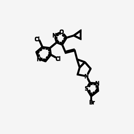 Clc1cncc(Cl)c1-c1noc(C2CC2)c1C=CC1C2CN(c3ncc(Br)s3)CC12